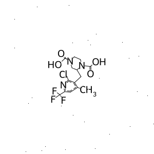 Cc1cc(C(F)(F)F)nc(Cl)c1CC1CN(C(=O)O)CCN1C(=O)O